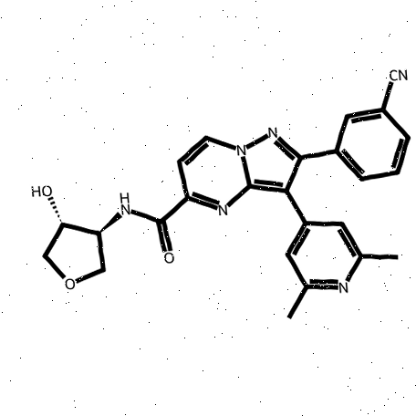 Cc1cc(-c2c(-c3cccc(C#N)c3)nn3ccc(C(=O)N[C@H]4COC[C@@H]4O)nc23)cc(C)n1